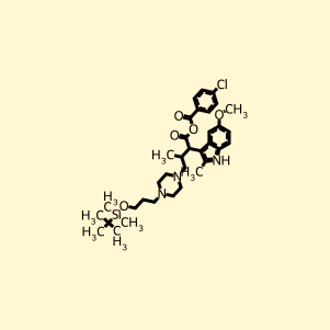 COc1ccc2[nH]c(C)c(C(C(=O)OC(=O)c3ccc(Cl)cc3)C(C)CN3CCN(CCCO[Si](C)(C)C(C)(C)C)CC3)c2c1